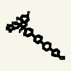 N#Cc1ccc(C2CCN(c3ccc(-c4ccc(C(F)(F)C(O)(Cn5cnnn5)c5ccc(F)cc5F)nc4)cc3)CC2)cc1